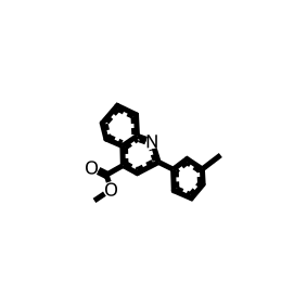 COC(=O)c1cc(-c2cccc(C)c2)nc2ccccc12